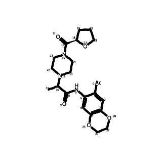 CC(=O)c1cc2c(cc1NC(=O)C(C)N1CCN(C(=O)[C@H]3CCCO3)CC1)OCCO2